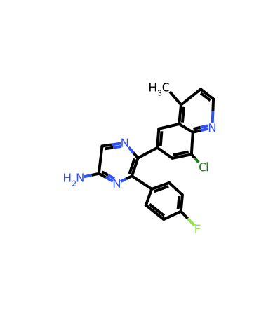 Cc1ccnc2c(Cl)cc(-c3ncc(N)nc3-c3ccc(F)cc3)cc12